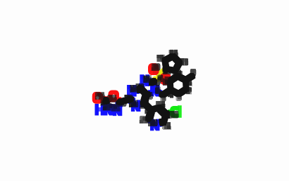 CC1CCC(Cn2c(S(=O)(=O)C3CCCC3)nc3nc(-c4n[nH]c(=O)o4)nc(-c4cncc(Cl)c4)c32)CC1